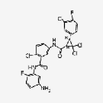 Nc1ccc(F)c(NC(=O)c2cc(NC(=O)[C@H]3[C@H](c4ccc(F)c(Cl)c4)C3(Cl)Cl)ccc2Cl)c1